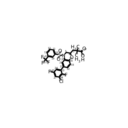 CC(C)(CC1CN(S(=O)(=O)c2cccc(C(F)(F)F)c2)c2cc(-c3cc(F)cc(Cl)c3F)ccc2O1)C(=O)O